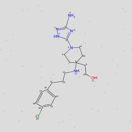 Nc1n[nH]c(N2CCC(CCO)(NCCCc3ccc(Cl)cc3)CC2)n1